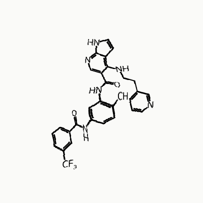 Cc1ccc(NC(=O)c2cccc(C(F)(F)F)c2)cc1NC(=O)c1cnc2[nH]ccc2c1NCCc1cccnc1